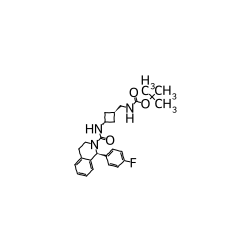 CC(C)(C)OC(=O)NC[C@H]1C[C@@H](NC(=O)N2CCc3ccccc3[C@@H]2c2ccc(F)cc2)C1